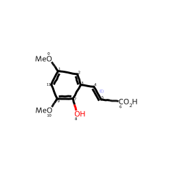 COc1cc(/C=C/C(=O)O)c(O)c(OC)c1